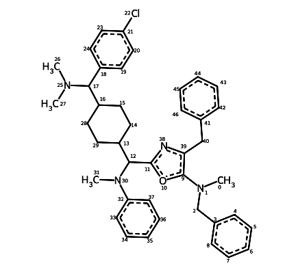 CN(Cc1ccccc1)c1oc(C(C2CCC(C(c3ccc(Cl)cc3)N(C)C)CC2)N(C)c2ccccc2)nc1Cc1ccccc1